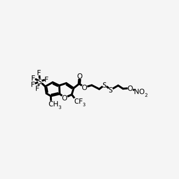 Cc1cc(S(F)(F)(F)(F)F)cc2c1OC(C(F)(F)F)C(C(=O)OCCSSCCO[N+](=O)[O-])=C2